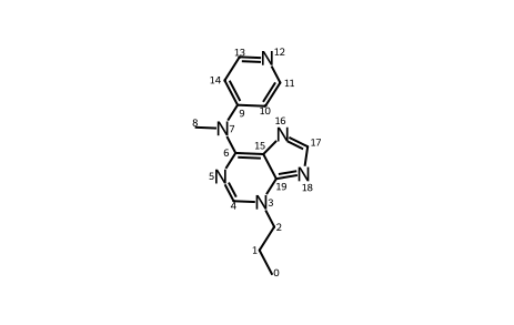 CCCn1cnc(N(C)c2ccncc2)c2ncnc1-2